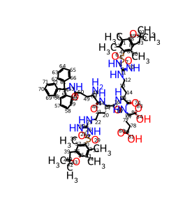 Cc1c(C)c(S(=O)(=O)NC(=N)NCCC[C@H](NC(=O)[C@H](CCCNC(=N)NS(=O)(=O)c2c(C)c(C)c3c(c2C)CC(C)(C)O3)NC(=O)[C@@H](N)CCC(=O)NC(c2ccccc2)(c2ccccc2)c2ccccc2)C(=O)N[C@@H](CCC(=O)O)C(=O)O)c(C)c2c1OC(C)(C)C2